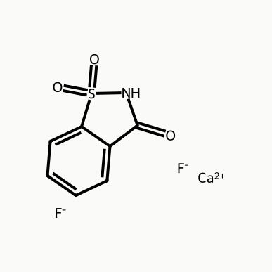 O=C1NS(=O)(=O)c2ccccc21.[Ca+2].[F-].[F-]